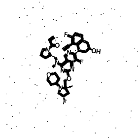 C#Cc1c(F)ccc2c1[C@H](c1ncc3c(N(C)C[C@@H]4CCCN4C(=O)C=C)nc(OC[C@]4(C)C[C@@H](F)CN4C4CCOCC4)nc3c1F)C[C@H](O)C2